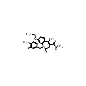 CCOc1ccc2c(c1)N(Cc1ccc(C)c(F)c1)C(=O)CC(C(=O)NC)=C2O